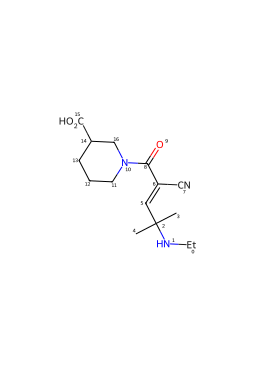 CCNC(C)(C)C=C(C#N)C(=O)N1CCCC(C(=O)O)C1